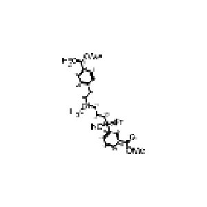 C=C(OC)c1ccc(CCN(C)CCCC(C#N)(c2cccc(C(=O)OC)c2)C(C)C)cc1